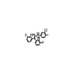 Cc1ccc(S(=O)(=O)c2cnc3c(F)cccc3c2-c2cccc(F)c2)cc1Cl